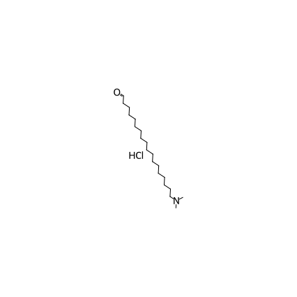 CN(C)CCCCCCCCCCCCCCCCCC=O.Cl